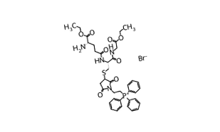 CCOC(=O)CNC(=O)[C@H](CSC1CC(=O)N(CC[P+](c2ccccc2)(c2ccccc2)c2ccccc2)C1=O)NC(=O)CC[C@H](N)C(=O)OCC.[Br-]